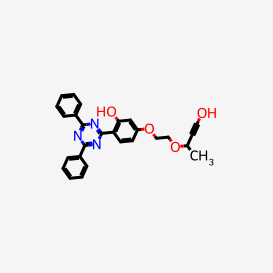 CC(C#CO)OCCOc1ccc(-c2nc(-c3ccccc3)nc(-c3ccccc3)n2)c(O)c1